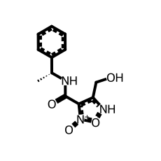 C[C@@H](NC(=O)c1c(CO)[nH]o[n+]1=O)c1ccccc1